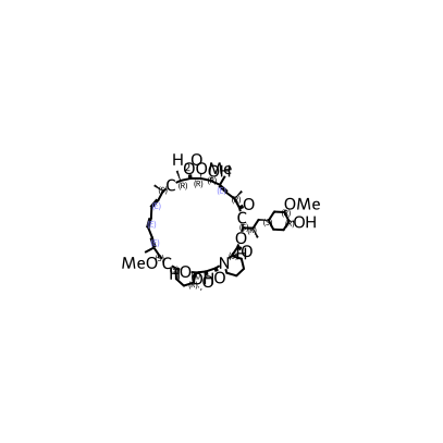 CO[C@H]1C[C@@H]2CC[C@@H](C)[C@@](O)(O2)C(=O)C(=O)N2CCCC[C@H]2C(=O)O[C@H]([C@H](C)C[C@@H]2CC[C@@H](O)[C@H](OC)C2)CC(=O)[C@H](C)/C=C(\C)[C@@H](O)[C@@H](OC)C(=O)[C@H](C)C[C@H](C)/C=C/C=C/C=C/1C.O